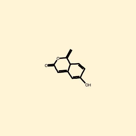 C=C1OC(=O)C=C2C=C(O)C=CC12